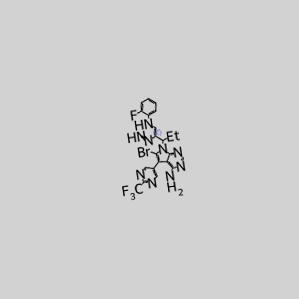 CCC(/C(=C/Nc1ccccc1F)N=N)n1c(Br)c(-c2cnc(C(F)(F)F)nc2)c2c(N)ncnc21